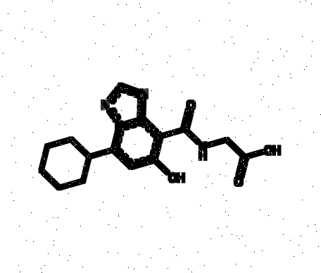 O=C(O)CNC(=O)c1c(O)cc(C2CCCCC2)n2ncnc12